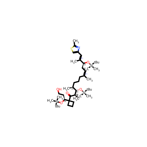 C/C(=C/C[C@H](O[Si](C)(C)C(C)(C)C)/C(C)=C/c1csc(C)n1)CCC[C@H](C)[C@H](O[Si](C)(C)C(C)(C)C)[C@@H](C)C(=O)C1([C@H](CCO)O[Si](C)(C)C(C)(C)C)CCC1